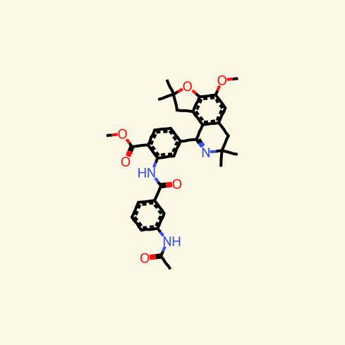 COC(=O)c1ccc(C2=NC(C)(C)Cc3cc(OC)c4c(c32)CC(C)(C)O4)cc1NC(=O)c1cccc(NC(C)=O)c1